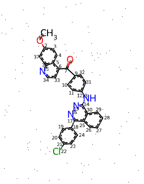 COc1ccc2c(C(=O)c3ccc(Nc4nnc(-c5ccc(Cl)cc5)c5ccccc45)cc3)ccnc2c1